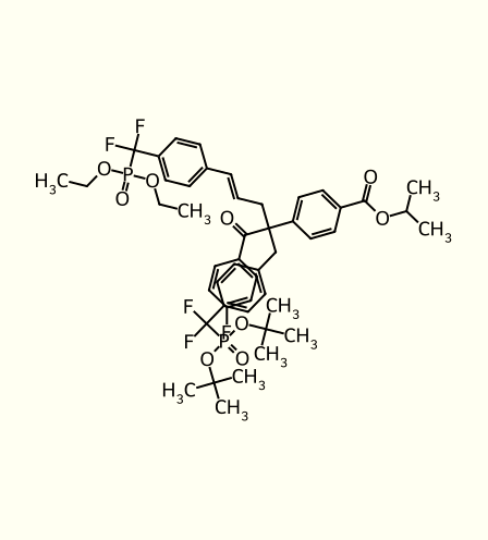 CCOP(=O)(OCC)C(F)(F)c1ccc(C=CCC(Cc2ccc(C(F)(F)P(=O)(OC(C)(C)C)OC(C)(C)C)cc2)(C(=O)c2ccc(F)cc2)c2ccc(C(=O)OC(C)C)cc2)cc1